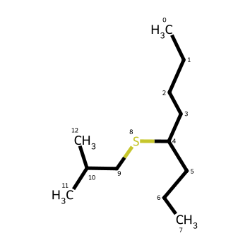 CCCCC(CCC)SCC(C)C